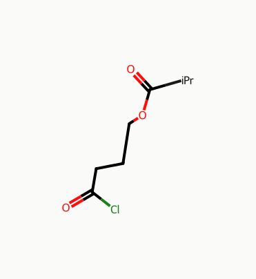 CC(C)C(=O)OCCCC(=O)Cl